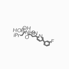 CC(C)CC(NC(=O)C1CC(c2ccc(-c3cccc(F)c3)cn2)=NO1)B(O)O